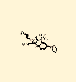 CS(=O)(=O)NC1=CC(=[N+]2CCCC2)C=C/C1=N/c1cnn(CCO)c1N